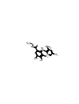 Bc1cc(C)cnc1Nc1c(C(=O)NOC)cc(Cl)c(F)c1F